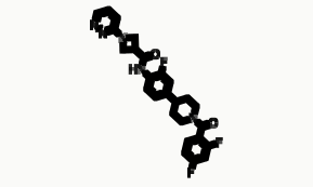 O=C(Nc1ccc(C2CCN(C(=O)c3ccc(F)cc3F)CC2)cc1F)C1CN(c2cccnn2)C1